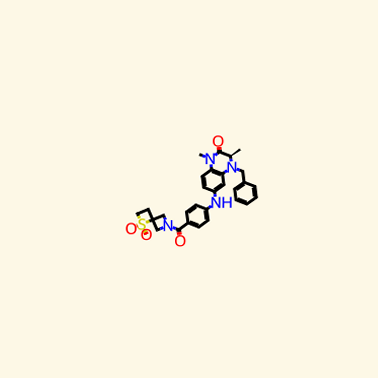 C[C@@H]1C(=O)N(C)c2ccc(Nc3ccc(C(=O)N4CC5(CCS5(=O)=O)C4)cc3)cc2N1Cc1ccccc1